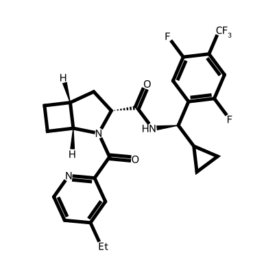 CCc1ccnc(C(=O)N2[C@@H](C(=O)N[C@@H](c3cc(F)c(C(F)(F)F)cc3F)C3CC3)C[C@H]3CC[C@H]32)c1